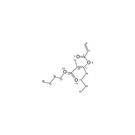 C=CC(=O)OC(CCCC)=C(C)C(=O)OCCCC